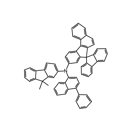 CC1(C)c2ccccc2-c2ccc(N(c3ccc4c(c3)C3(c5ccccc5-c5ccccc53)c3ccc5ccccc5c3-4)c3ccc(-c4ccccc4)c4ccccc34)cc21